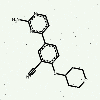 N#Cc1cc(-c2ccnc(N)n2)ccc1OC1CCOCC1